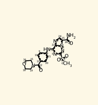 CS(=O)(=O)c1nc(Nc2ccc(C(=O)N3CCOCC3)cc2)c2ncc(C(N)=O)n2n1